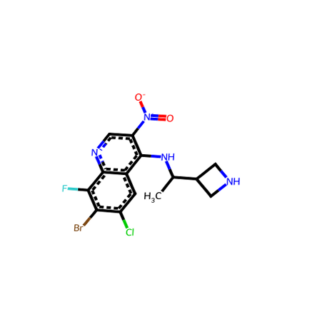 CC(Nc1c([N+](=O)[O-])cnc2c(F)c(Br)c(Cl)cc12)C1CNC1